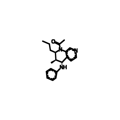 CCCC1[C@H](C)[C@@H](Nc2ccccc2)c2ccncc2N1C(C)=O